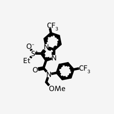 CC[S+]([O-])c1c(C(=O)N(COC)c2ccc(C(F)(F)F)cc2)nc2ccc(C(F)(F)F)cn12